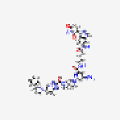 Cc1cc(N2CC[C@](C)(c3ccccc3)C2)cn2nc(C(=O)N3CC[C@@]4(CCN(c5cc(N)cc(C(=O)NCCCCC(=O)Nc6ccc7c(C8CCC(=O)NC8=O)nn(C)c7c6)n5)C4)C3)nc12